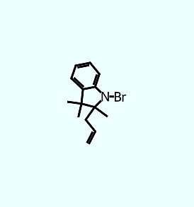 C=CCC1(C)N(Br)c2ccccc2C1(C)C